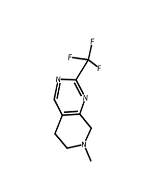 CN1CCc2cnc(C(F)(F)F)nc2C1